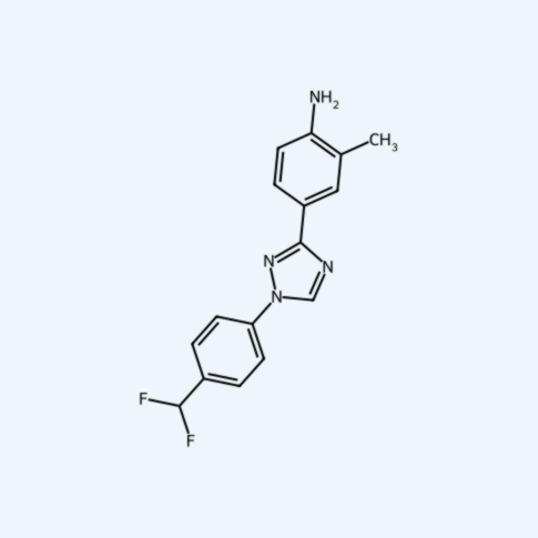 Cc1cc(-c2ncn(-c3ccc(C(F)F)cc3)n2)ccc1N